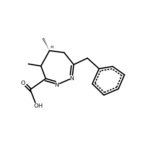 CC1C(C(=O)O)=NN=C(Cc2ccccc2)C[C@H]1C